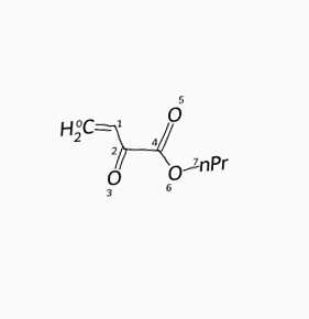 C=CC(=O)C(=O)OCCC